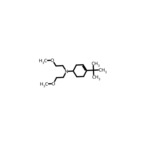 COCCN(CCOC)C1CC=C(C(C)(C)C)CC1